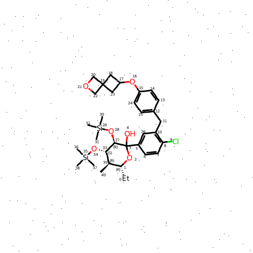 CC[C@H]1OC(O)(c2ccc(Cl)c(Cc3ccc(OC4CC5(COC5)C4)cc3)c2)[C@H](O[Si](C)(C)C)[C@@H](O[Si](C)(C)C)[C@@H]1C